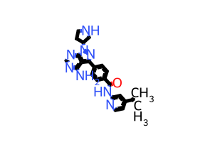 CC(C)c1ccnc(NC(=O)c2ccc(-c3nn(C4CCNC4)c4ncnc(N)c34)cc2)c1